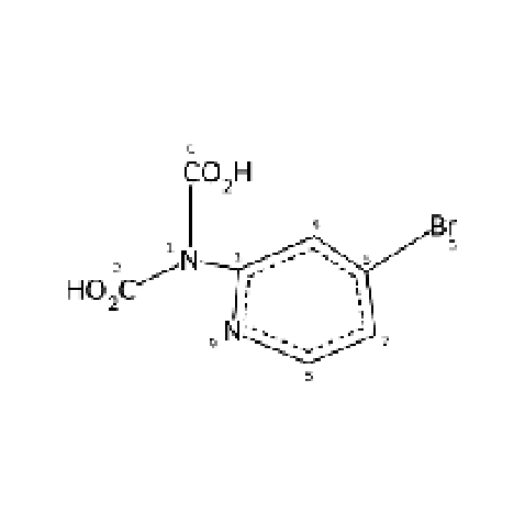 O=C(O)N(C(=O)O)c1cc(Br)ccn1